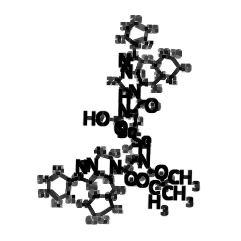 CC(C)(C)OC(=O)N[C@@H](C[Se][Se]C[C@H](NC(=O)O)C(=O)N1CCn2nc(-c3ccccc3)cc2C1CC1CCCCC1)C(=O)N1CCn2nc(-c3ccccc3)cc2C1CC1CCCCC1